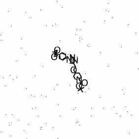 CC(C)(C)OC(=O)N1CCC(OCc2cn(-c3ccc(S(C)(=O)=O)cc3)nn2)CC1